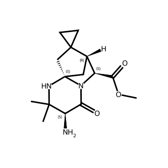 COC(=O)[C@@H]1[C@@H]2C[C@]3(CC24CC4)NC(C)(C)[C@H](N)C(=O)N13